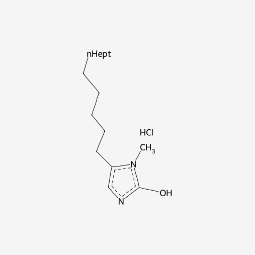 CCCCCCCCCCCCc1cnc(O)n1C.Cl